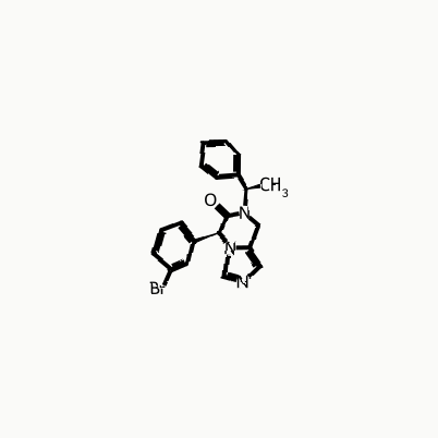 C[C@H](c1ccccc1)N1Cc2cncn2[C@@H](c2cccc(Br)c2)C1=O